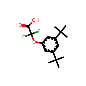 CC(C)(C)c1cc(OC(F)(F)C(=O)O)cc(C(C)(C)C)c1